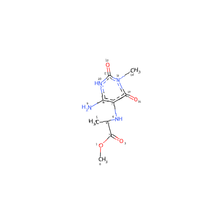 COC(=O)C(C)Nc1c(N)[nH]c(=O)n(C)c1=O